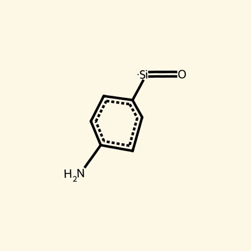 Nc1ccc([Si]=O)cc1